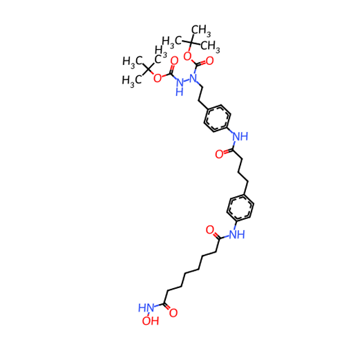 CC(C)(C)OC(=O)NN(CCc1ccc(NC(=O)CCCc2ccc(NC(=O)CCCCCCC(=O)NO)cc2)cc1)C(=O)OC(C)(C)C